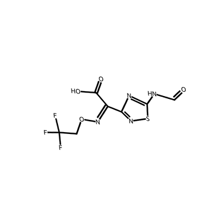 O=CNc1nc(C(=NOCC(F)(F)F)C(=O)O)ns1